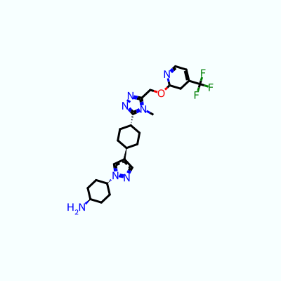 Cn1c(COC2CC(C(F)(F)F)=CC=N2)nnc1[C@H]1CC[C@H](c2cnn([C@H]3CC[C@H](N)CC3)c2)CC1